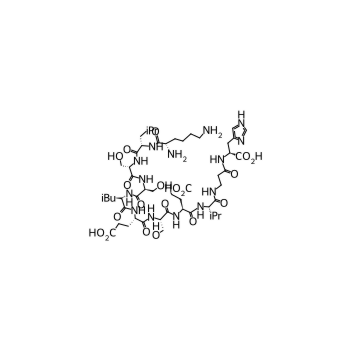 CC[C@H](C)[C@H](NC(=O)[C@H](CO)NC(=O)[C@H](CO)NC(=O)[C@H](CC(C)C)NC(=O)[C@@H](N)CCCCN)C(=O)N[C@@H](CCC(=O)O)C(=O)N[C@@H](CO)C(=O)N[C@@H](CCC(=O)O)C(=O)N[C@H](C(=O)NCCC(=O)N[C@@H](Cc1c[nH]cn1)C(=O)O)C(C)C